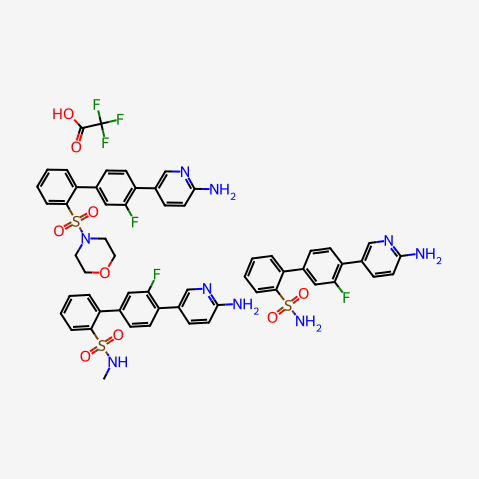 CNS(=O)(=O)c1ccccc1-c1ccc(-c2ccc(N)nc2)c(F)c1.Nc1ccc(-c2ccc(-c3ccccc3S(=O)(=O)N3CCOCC3)cc2F)cn1.Nc1ccc(-c2ccc(-c3ccccc3S(N)(=O)=O)cc2F)cn1.O=C(O)C(F)(F)F